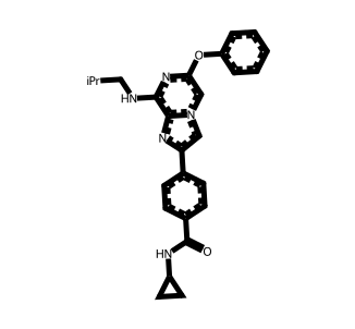 CC(C)CNc1nc(Oc2ccccc2)cn2cc(-c3ccc(C(=O)NC4CC4)cc3)nc12